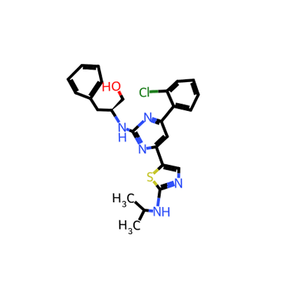 CC(C)Nc1ncc(-c2cc(-c3ccccc3Cl)nc(N[C@H](CO)Cc3ccccc3)n2)s1